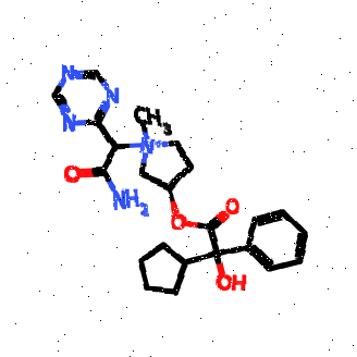 C[N+]1(C(C(N)=O)c2ncncn2)CC[C@@H](OC(=O)C(O)(c2ccccc2)C2CCCC2)C1